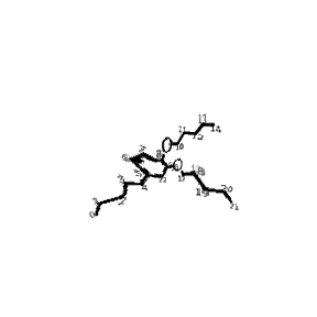 CCCC[CH]c1ccc(OCCCCC)c(OCCCCC)c1